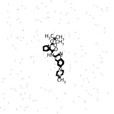 CN1CCN(c2ccc(F)c(C[C@@H](C#N)NC(=O)C3C4CCC(C4)N3C(=O)OC(C)(C)C)c2)CC1